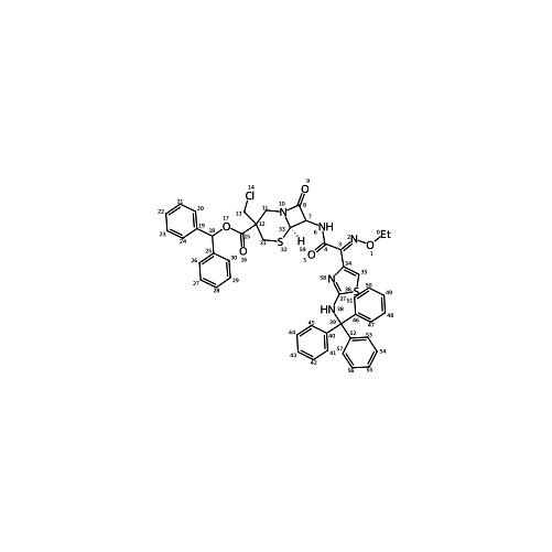 CCON=C(C(=O)NC1C(=O)N2CC(CCl)(C(=O)OC(c3ccccc3)c3ccccc3)CS[C@H]12)c1csc(NC(c2ccccc2)(c2ccccc2)c2ccccc2)n1